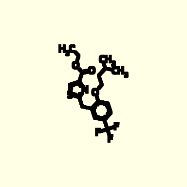 CCOC(=O)c1csc(Cc2cc(C(F)(F)F)ccc2OCCC(C)C)n1